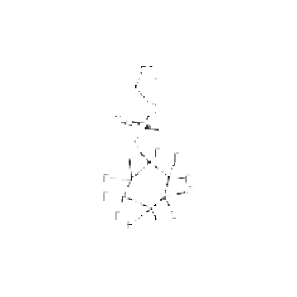 O=S(=O)(OCC(F)(F)F)OC1(F)C(F)(F)C(F)(F)C(F)(F)C(F)(F)C1(F)F